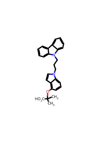 CC(C)(Oc1cccc2c1ccn2CCCn1c2ccccc2c2ccccc21)C(=O)O